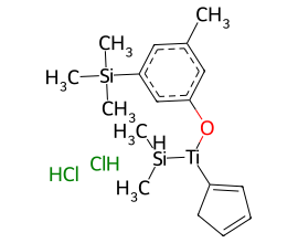 Cc1cc([O][Ti]([C]2=CC=CC2)[SiH](C)C)cc([Si](C)(C)C)c1.Cl.Cl